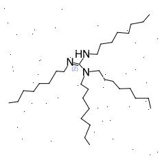 CCCCCCCC/N=C(/NCCCCCCCC)N(CCCCCCCC)CCCCCCCC